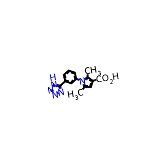 Cc1cc(C(=O)O)c(C)n1-c1cccc(-c2nnn[nH]2)c1